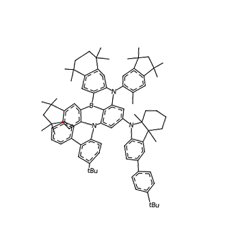 Cc1cc2c(cc1N1c3cc4c(cc3B3c5cc6c(cc5N(c5ccc(C(C)(C)C)cc5-c5ccccc5)c5cc(N7c8ccc(-c9ccc(C(C)(C)C)cc9)cc8C8(C)CCCCC78C)cc1c53)C(C)(C)CC6(C)C)C(C)(C)CCC4(C)C)C(C)(C)CC2(C)C